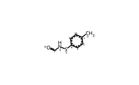 Cc1ccc(SN[C]=O)cc1